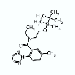 CCN(CCO[Si](C)(C)C(C)(C)C)C(=O)c1cc(C)ccc1-n1nccn1